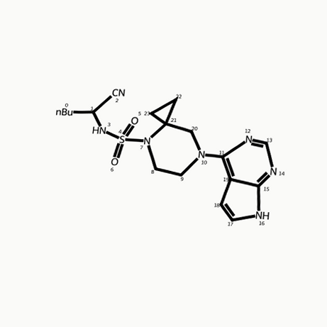 CCCCC(C#N)NS(=O)(=O)N1CCN(c2ncnc3[nH]ccc23)CC12CC2